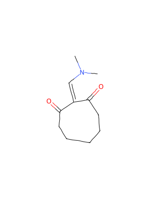 CN(C)C=C1C(=O)CCCCCC1=O